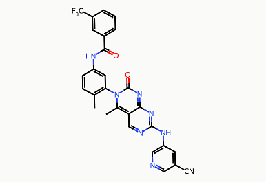 Cc1ccc(NC(=O)c2cccc(C(F)(F)F)c2)cc1-n1c(C)c2cnc(Nc3cncc(C#N)c3)nc2nc1=O